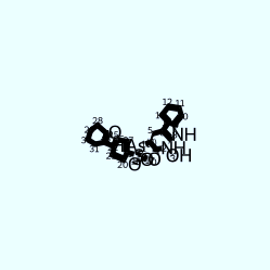 O=C(NO)[C@H](Cc1c[nH]c2ccccc12)[AsH]S(=O)(=O)c1ccc2c3c(oc2c1)CCCC3